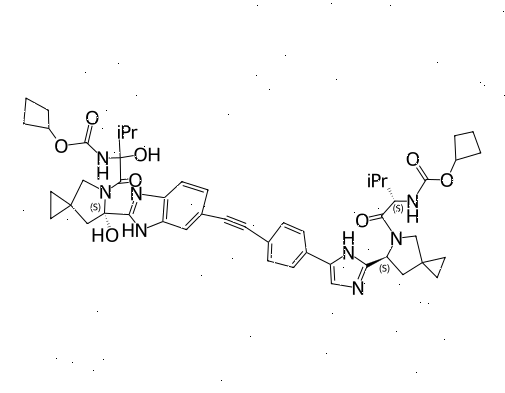 CC(C)[C@H](NC(=O)OC1CCC1)C(=O)N1CC2(CC2)C[C@H]1c1ncc(-c2ccc(C#Cc3ccc4nc([C@@]5(O)CC6(CC6)CN5C(=O)C(O)(NC(=O)OC5CCC5)C(C)C)[nH]c4c3)cc2)[nH]1